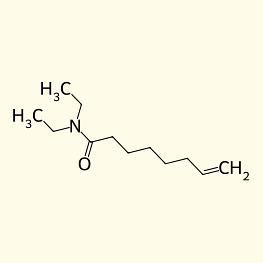 C=CCCCCCC(=O)N(CC)CC